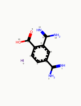 I.N=C(N)c1ccc(C(=O)O)c(C(=N)N)c1